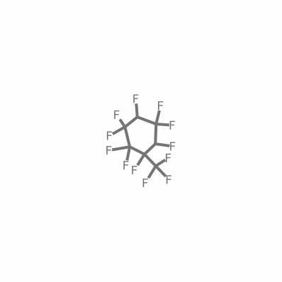 FC1C(F)(F)C(F)C(F)(C(F)(F)F)C(F)(F)C1(F)F